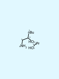 CC(C)O.CCCCC(O)CN